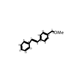 COCc1ccc(C=Cc2ccccc2)cc1